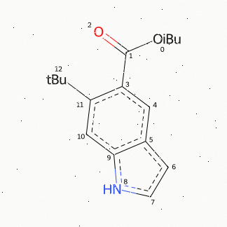 CC(C)COC(=O)c1cc2cc[nH]c2cc1C(C)(C)C